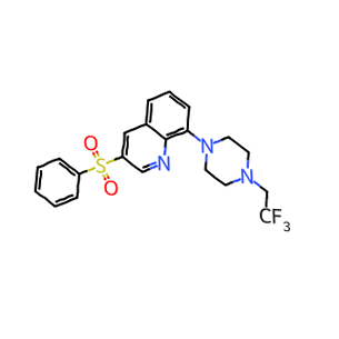 O=S(=O)(c1ccccc1)c1cnc2c(N3CCN(CC(F)(F)F)CC3)cccc2c1